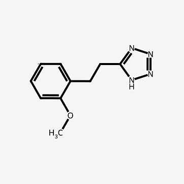 COc1cc[c]cc1CCc1nnn[nH]1